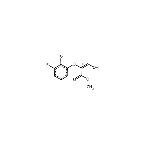 COC(=O)/C(=C\O)Oc1cccc(F)c1Br